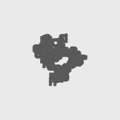 CCc1ccc(COc2ccc(-n3c(=O)cc(C(F)(F)F)n(C)c3=O)cc2)c(OC(C)C(=O)OC)c1.COc1nc(C)nc(NC(=O)NS(=O)(=O)c2ccccc2OCCCl)n1.O=C(O)COc1ccc(Cl)c2cccnc12